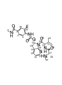 CNC(=O)c1ccc(NC(=O)O[C@H]2Cc3cccnc3N2C(=O)[C@@H](NC(=O)[C@H](C)NC)C(C)C)c(F)c1